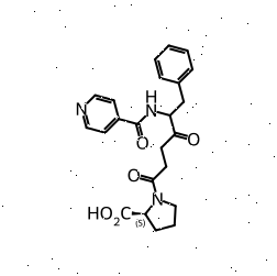 O=C(NC(Cc1ccccc1)C(=O)CCC(=O)N1CCC[C@H]1C(=O)O)c1ccncc1